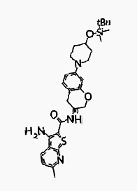 Cc1ccc2c(N)c(C(=O)N[C@H]3COc4cc(N5CCC(O[Si](C)(C)C(C)(C)C)CC5)ccc4C3)sc2n1